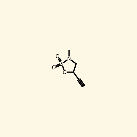 C#CC1CN(C)S(=O)(=O)O1